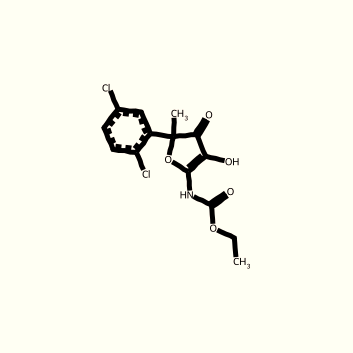 CCOC(=O)NC1=C(O)C(=O)C(C)(c2cc(Cl)ccc2Cl)O1